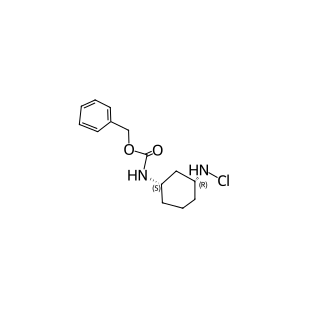 O=C(N[C@H]1CCC[C@@H](NCl)C1)OCc1ccccc1